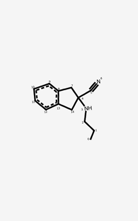 CCCNC1(C#N)Cc2ccccc2C1